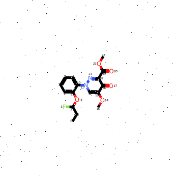 CCC(F)Oc1ccccc1-n1cc(OC)c(=O)c(C(=O)OC)n1